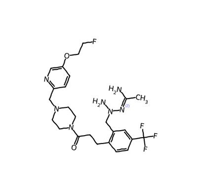 C/C(N)=N/N(N)Cc1cc(C(F)(F)F)ccc1CCC(=O)N1CCN(Cc2ccc(OCCF)cn2)CC1